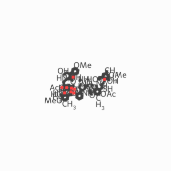 COc1ccc2[nH]c3c(c2c1)C[C@@H](CO)N[C@]31CS[C@@H]2c3c(OC(C)=O)c(C)c4c(c3[C@H](COC1=O)N1[C@@H]2[C@@H]2c3c(cc(C)c(OC)c3O)CC1(O)CN2C)OC(c1cccc2[nH]c3c(c12)C[C@H](CN)N[C@]3(C(=O)OC[C@H]1c2c3c(c(C)c(OC(C)=O)c2[C@@H](S)[C@H]2C5c6c(cc(C)c(OC)c6O)CC(O)(CN5C)N21)OCO3)C(C)C)O4